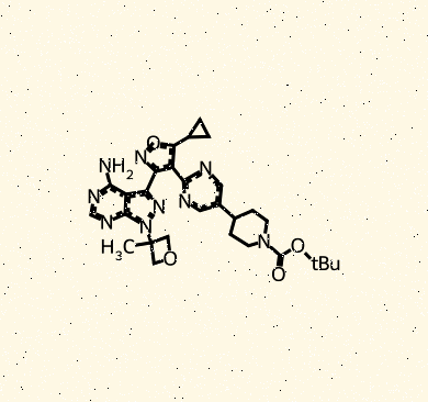 CC(C)(C)OC(=O)N1CCC(c2cnc(-c3c(-c4nn(C5(C)COC5)c5ncnc(N)c45)noc3C3CC3)nc2)CC1